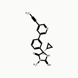 CC#Cc1cncc(-c2cccc([C@@]3(C4CC4)NC(=N)N(C)C3=O)c2)c1